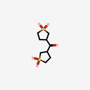 O=C(C1CCS(=O)(=O)C1)C1CCS(=O)(=O)C1